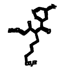 CCOC(=O)CCCCC(C(=O)COC)C(=O)c1cncc(Br)c1